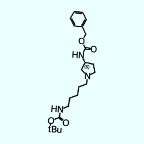 CC(C)(C)OC(=O)NCCCCCN1CC[C@H](NC(=O)OCc2ccccc2)C1